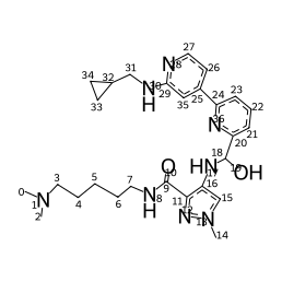 CN(C)CCCCCNC(=O)c1nn(C)cc1NC(O)c1cccc(-c2ccnc(NCC3CC3)c2)n1